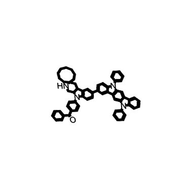 O=C(c1ccccc1)c1ccc(N2c3ccc(-c4ccc5c(c4)c4cc6c(cc4n5-c4ccccc4)c4ccccc4n6-c4ccccc4)cc3C3CC4(CCCCCCCC4)NCC32)cc1